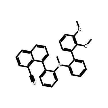 COc1cccc(-c2ccccc2N(C)c2ccccc2-c2cccc3cccc(C#N)c23)c1OC